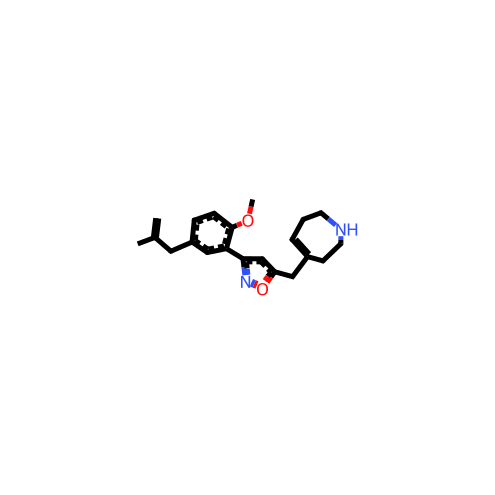 C=C(C)Cc1ccc(OC)c(-c2cc(CC3=CCCNCC3)on2)c1